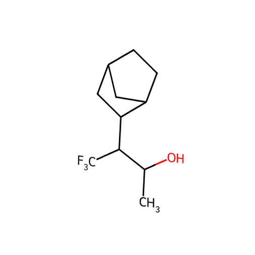 CC(O)C(C1CC2CCC1C2)C(F)(F)F